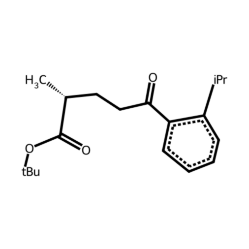 CC(C)c1ccccc1C(=O)CC[C@@H](C)C(=O)OC(C)(C)C